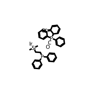 C[Si](C)([Ir])CCP(c1ccccc1)c1ccccc1.O=C=C1C=CC=CC1P(=C=O)(c1ccccc1)c1ccccc1